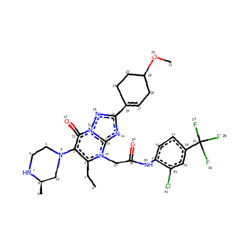 CCc1c(N2CCN[C@H](C)C2)c(=O)n2nc(C3=CCC(OC)CC3)nc2n1CC(=O)Nc1ccc(C(F)(F)F)cc1Cl